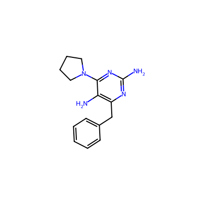 Nc1nc(Cc2ccccc2)c(N)c(N2CCCC2)n1